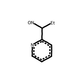 CCC(N=O)c1ccccn1